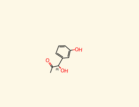 CC(=O)[C@H](O)c1cccc(O)c1